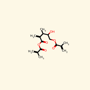 C=C(C)C(=O)OCC(O)C(C)C(=C)C(=O)OC(=O)C(=C)C